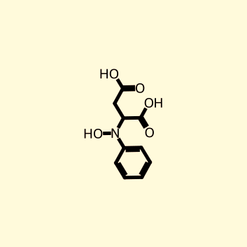 O=C(O)CC(C(=O)O)N(O)c1ccccc1